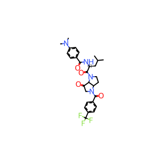 CC(C)C[C@H](NC(=O)c1ccc(N(C)C)cc1)C(=O)N1CCC2C1C(=O)CN2C(=O)c1ccc(C(F)(F)F)cc1